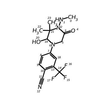 CNN1C(=O)CN(c2ccc(C#N)c(C(F)(F)F)c2)C(O)C1(C)C